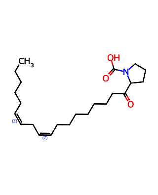 CCCCC/C=C\C/C=C\CCCCCCCC(=O)C1CCCN1C(=O)O